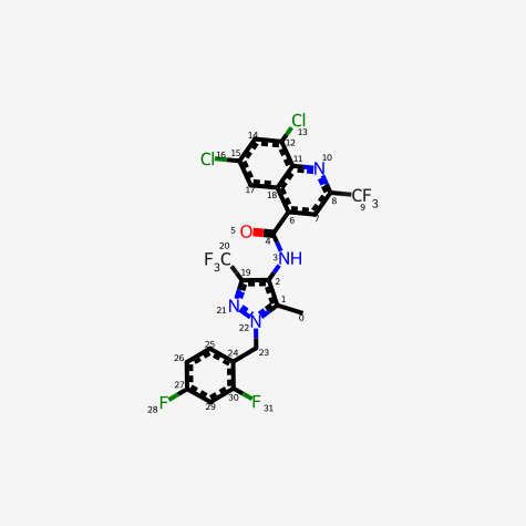 Cc1c(NC(=O)c2cc(C(F)(F)F)nc3c(Cl)cc(Cl)cc23)c(C(F)(F)F)nn1Cc1ccc(F)cc1F